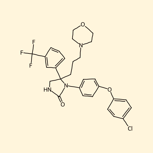 O=C1NCC(CCCN2CCOCC2)(c2cccc(C(F)(F)F)c2)N1c1ccc(Oc2ccc(Cl)cc2)cc1